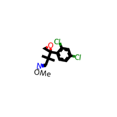 CON=CC(C)(C)C1(c2ccc(Cl)cc2Cl)CO1